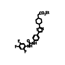 CCOC(=O)CC1CCC(c2ncc(-c3ccc(NC(=O)Nc4cc(F)c(F)cc4F)cc3)s2)CC1